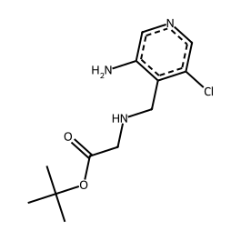 CC(C)(C)OC(=O)CNCc1c(N)cncc1Cl